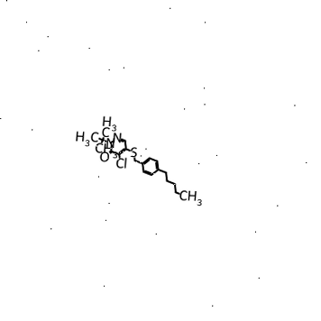 CCCCCc1ccc(CSc2cnn(C(C)(C)C)c(=O)c2Cl)cc1